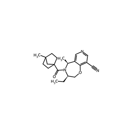 CC[C@@H]1COc2c(C#N)cncc2[C@H](C)N1C(=O)C12CCC(C)(CC1)C2